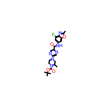 Cc1nc2c(F)cc(NC(=O)c3cnc(N4CCN(C(=O)OC(C)(C)C)C(C)C4)cn3)cc2o1